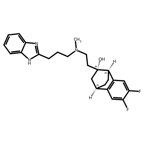 CN(CCCc1nc2ccccc2[nH]1)CC[C@]1(O)C[C@H]2CC[C@@H]1c1cc(F)c(F)cc12